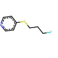 FCC[CH]Sc1ccncc1